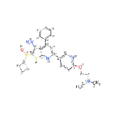 CN(C)CCOc1ccc(-c2cc(-c3ccccc3)c3c(N)c([S+]([O-])C4CCC4)sc3n2)cn1